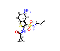 CCCNS(=O)(=O)c1c(NC(=O)C2CC2)sc2c1CC(N)CC2